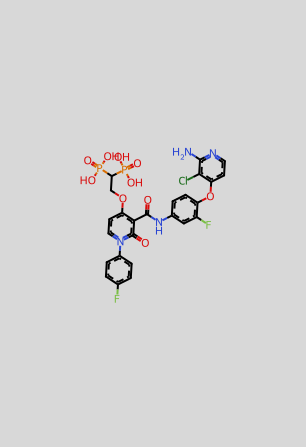 Nc1nccc(Oc2ccc(NC(=O)c3c(OCC(P(=O)(O)O)P(=O)(O)O)ccn(-c4ccc(F)cc4)c3=O)cc2F)c1Cl